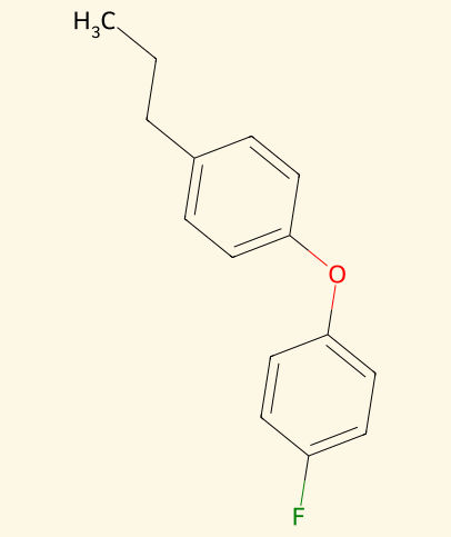 CCCc1ccc(Oc2ccc(F)cc2)cc1